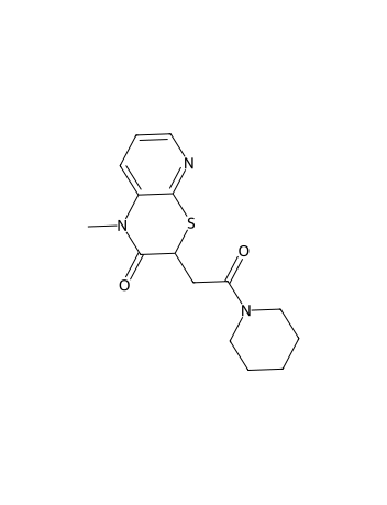 CN1C(=O)C(CC(=O)N2CCCCC2)Sc2ncccc21